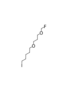 FCOCCCOCCCCCI